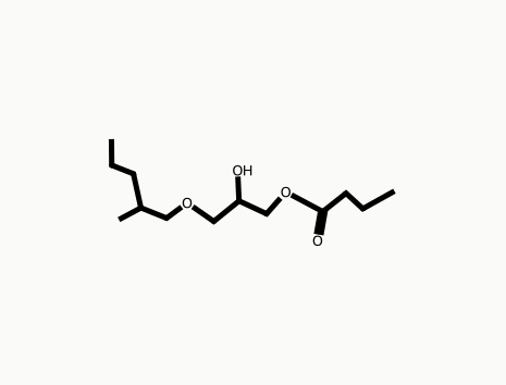 CCCC(=O)OCC(O)COCC(C)CCC